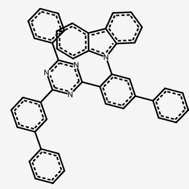 c1ccc(-c2cccc(-c3nc(-c4ccccc4)nc(-c4ccc(-c5ccccc5)cc4-n4c5ccccc5c5ccccc54)n3)c2)cc1